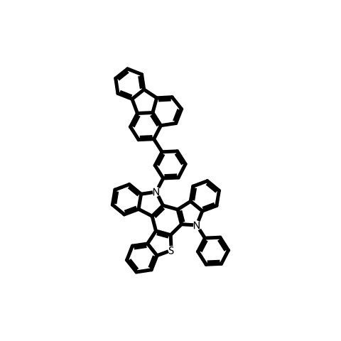 c1ccc(-n2c3ccccc3c3c2c2sc4ccccc4c2c2c4ccccc4n(-c4cccc(-c5ccc6c7c(cccc57)-c5ccccc5-6)c4)c23)cc1